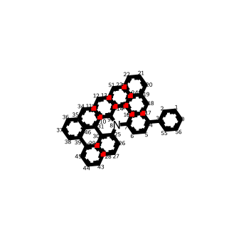 c1ccc(-c2ccc(N(c3ccccc3-c3cccc4ccccc34)c3ccccc3-c3cccc4cccc(-c5ccccc5)c34)c(-c3ccccc3)c2)cc1